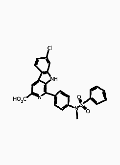 CN(c1ccc(-c2nc(C(=O)O)cc3c2[nH]c2cc(Cl)ccc23)cc1)S(=O)(=O)c1ccccc1